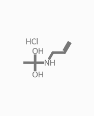 C=CCNC(C)(O)O.Cl